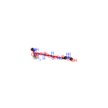 NC(=O)[C@H](CS)NC(=O)[C@H](Cc1c[nH]c2ccccc12)NC(=O)COCCOCCNC(=O)COCCOCCNC(=O)COCCOCCNC(=O)Cc1ccc(NC(=O)Nc2ccc(O)cc2)cc1